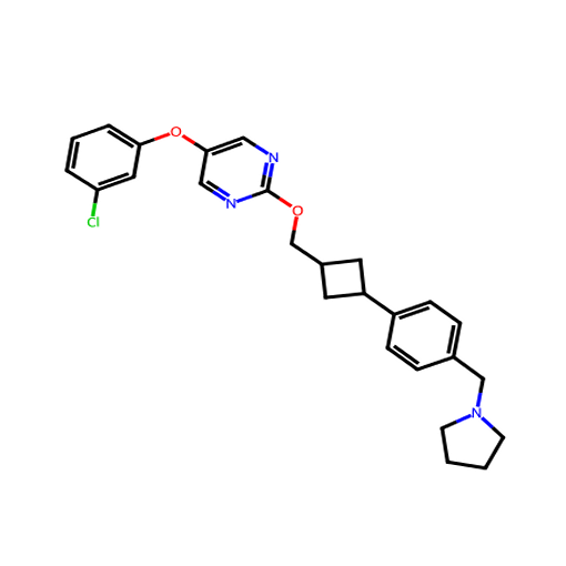 Clc1cccc(Oc2cnc(OCC3CC(c4ccc(CN5CCCC5)cc4)C3)nc2)c1